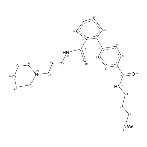 CNCCCNC(=O)c1ccc(-c2ccc[c]c2C(=O)NCCCN2CCOCC2)cc1